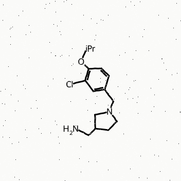 CC(C)Oc1ccc(CN2CCC(CN)C2)cc1Cl